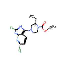 CC(C)(C)OC(=O)N1CCN(c2nc(Cl)nc3nc(Cl)ccc23)C[C@@H]1CC#N